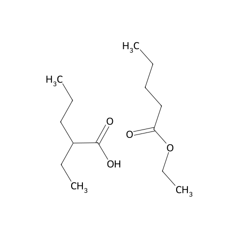 CCCC(CC)C(=O)O.CCCCC(=O)OCC